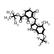 Cc1cc(OC(F)(F)F)cc2[nH]cc(Cc3c(Cl)ccc(C(=O)OC(C)(C)C)c3Cl)c12